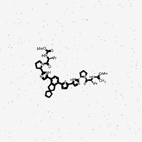 C=C(N[C@H](C(=O)N1CCC[C@H]1c1ncc(-c2ccc(-c3ccc(-c4cnc(C5CCCN5C(=O)[C@@H](NC(=O)OC)C(C)C)[nH]4)c4c3CC3(CCCC3)C4)s2)[nH]1)C(C)C)OC